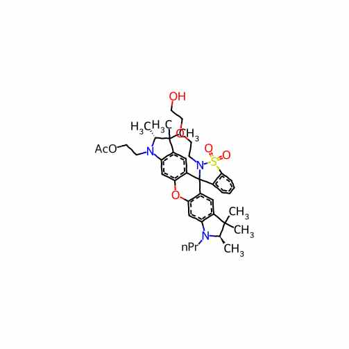 CCCN1c2cc3c(cc2C(C)(C)[C@H]1C)C1(c2cc4c(cc2O3)N(CCOC(C)=O)[C@H](C)C4(C)C)c2ccccc2S(=O)(=O)N1CCOCCO